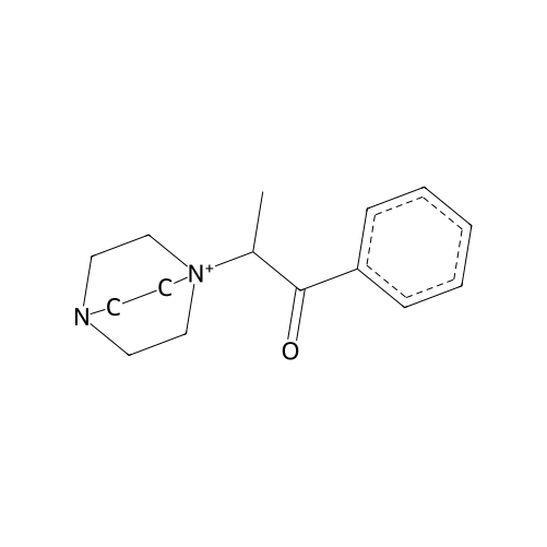 CC(C(=O)c1ccccc1)[N+]12CCN(CC1)CC2